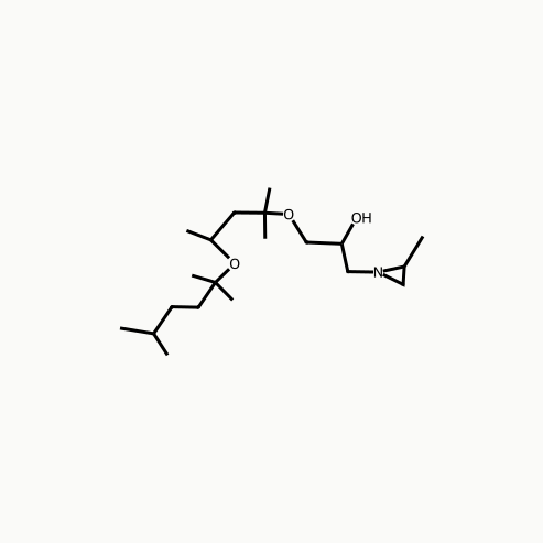 CC(C)CCC(C)(C)OC(C)CC(C)(C)OCC(O)CN1CC1C